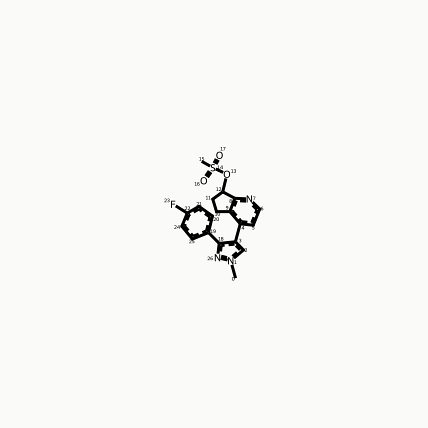 Cn1cc(-c2ccnc3c2CCC3OS(C)(=O)=O)c(-c2ccc(F)cc2)n1